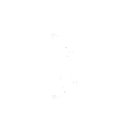 COc1ccc(Oc2cccc(COCC(C)(C)c3ccc(SC)cc3)c2)cc1